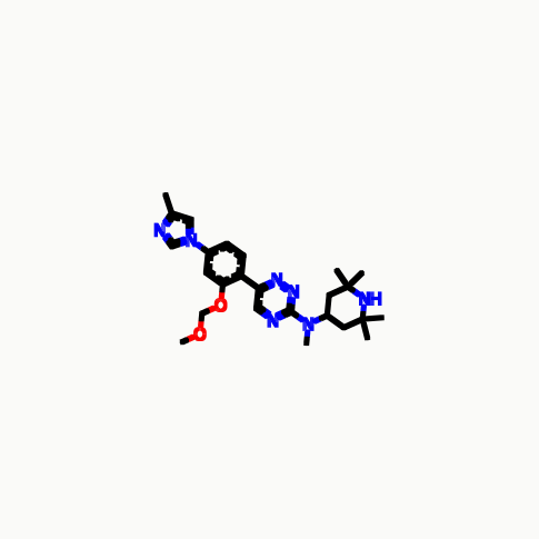 COCOc1cc(-n2cnc(C)c2)ccc1-c1cnc(N(C)C2CC(C)(C)NC(C)(C)C2)nn1